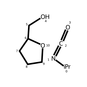 CC(C)N=C=O.OCC1CCCO1